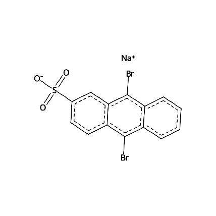 O=S(=O)([O-])c1ccc2c(Br)c3ccccc3c(Br)c2c1.[Na+]